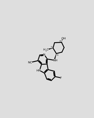 C[C@H]1C[C@H](O)CC[C@H]1Nc1ncc(C#N)c2[nH]c3ccc(F)cc3c12